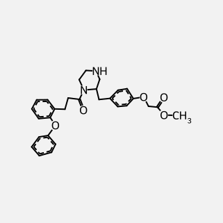 COC(=O)COc1ccc(CC2CNCCN2C(=O)CCc2ccccc2Oc2ccccc2)cc1